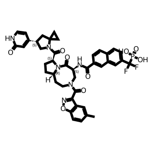 Cc1ccc2onc(C(=O)N3CC[C@H]4CC[C@@H](C(=O)N5C[C@H](c6cc[nH]c(=O)c6)CC56CC6)N4C(=O)[C@@H](NC(=O)c4ccc5ccc(C(F)(F)P(=O)(O)O)cc5c4)C3)c2c1